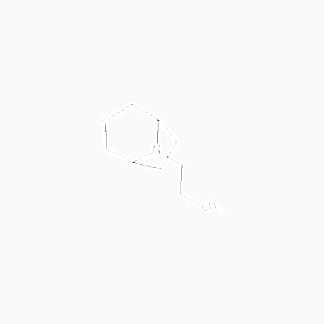 CCCN1C2CCC1COC2